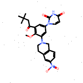 COc1c(C(=O)CC(C)(C)C)cc(-n2ccc(=O)[nH]c2=O)cc1N1CCc2cc([N+](=O)[O-])ccc2C1